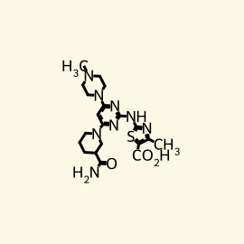 Cc1nc(Nc2nc(N3CCN(C)CC3)cc(N3CCCC(C(N)=O)C3)n2)sc1C(=O)O